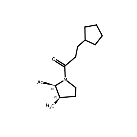 CC(=O)[C@@H]1[C@H](C)CCN1C(=O)CCC1CCCC1